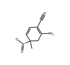 CC1([N+](=O)[O-])C=CC(C#N)=C(N)C1